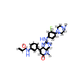 C=CC(=O)Nc1cccc(-c2cc(=O)n(C)c3cnc(Nc4ccc(N5CCN(C)CC5)c(F)c4)nc23)c1